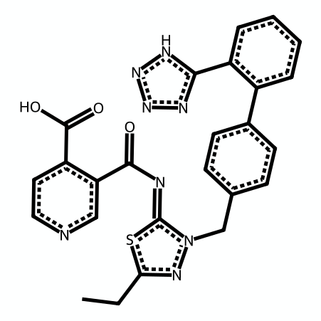 CCc1nn(Cc2ccc(-c3ccccc3-c3nnn[nH]3)cc2)c(=NC(=O)c2cnccc2C(=O)O)s1